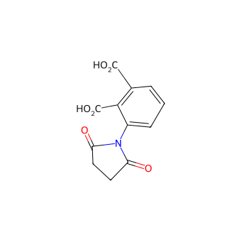 O=C(O)c1cccc(N2C(=O)CCC2=O)c1C(=O)O